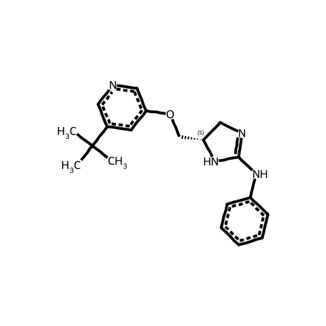 CC(C)(C)c1cncc(OC[C@@H]2CN=C(Nc3ccccc3)N2)c1